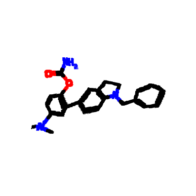 CN(C)c1ccc(OC(N)=O)c(-c2ccc3c(c2)CCN3Cc2ccccc2)c1